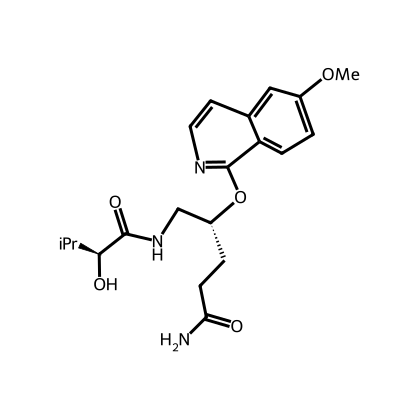 COc1ccc2c(O[C@H](CCC(N)=O)CNC(=O)[C@@H](O)C(C)C)nccc2c1